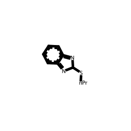 CCCS[C]1N=c2ccccc2=N1